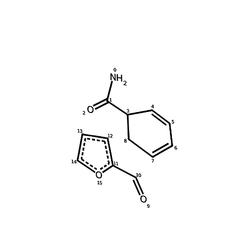 NC(=O)C1C=CC=CC1.O=Cc1ccco1